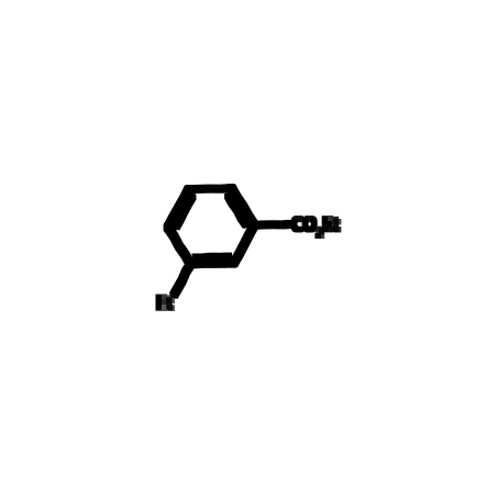 [CH2]Cc1cccc(C(=O)OCC)c1